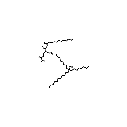 CCCCCCCCCCCC(=O)OC(=O)C(N)CCC(=O)O.CCCCCCCCCCCC(O)(CCCCCCCC)CCCCCCCC